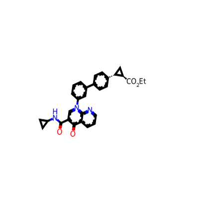 CCOC(=O)[C@@H]1C[C@H]1c1ccc(-c2cccc(-n3cc(C(=O)NC4CC4)c(=O)c4cccnc43)c2)cc1